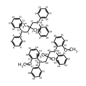 CC(C)(CP(c1ccccc1)c1ccccc1)CP(c1ccccc1)c1ccccc1.COc1ccccc1P(CC(C)(C)CP(c1ccccc1)c1ccccc1OC)c1ccccc1